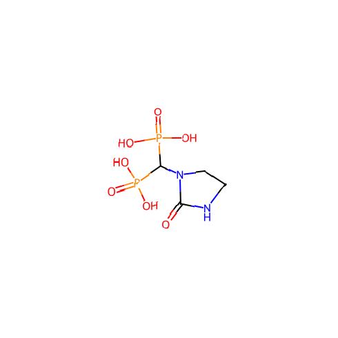 O=C1NCCN1C(P(=O)(O)O)P(=O)(O)O